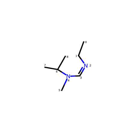 CC/N=C\N(C)C(C)C